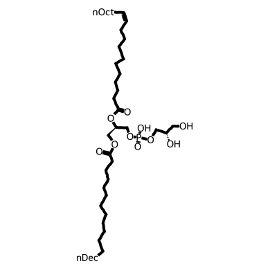 CCCCCCCC/C=C\CCCCCCCCCC(=O)O[C@H](COC(=O)CCCCCCCCCCCCCCCCCCCCC)COP(=O)(O)OC[C@@H](O)CO